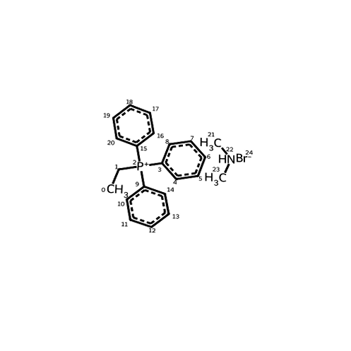 CC[P+](c1ccccc1)(c1ccccc1)c1ccccc1.CNC.[Br-]